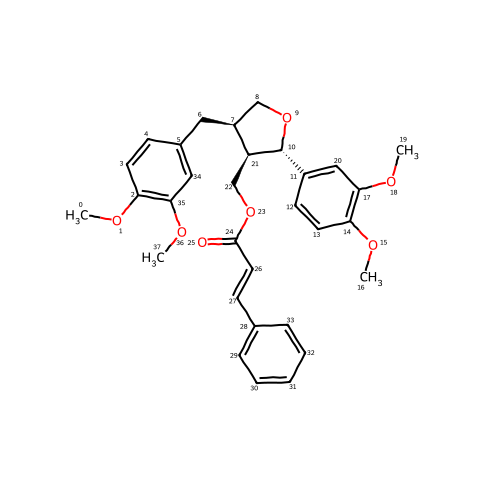 COc1ccc(C[C@H]2CO[C@H](c3ccc(OC)c(OC)c3)[C@H]2COC(=O)/C=C/c2ccccc2)cc1OC